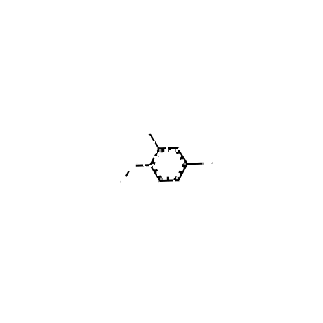 Cc1cc(F)ccc1SC(F)(F)F